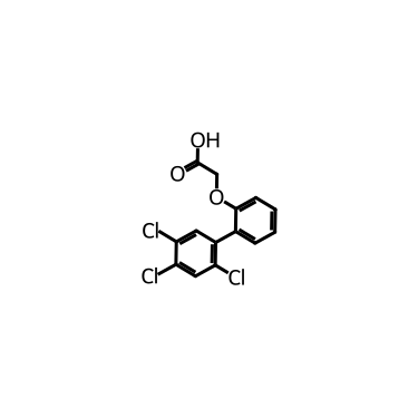 O=C(O)COc1ccccc1-c1cc(Cl)c(Cl)cc1Cl